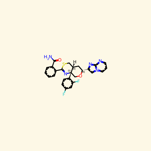 NC(=O)c1ccccc1C1=N[C@@]2(c3ccc(F)cc3F)CO[C@@H](c3cn4cccnc4n3)C[C@H]2CS1